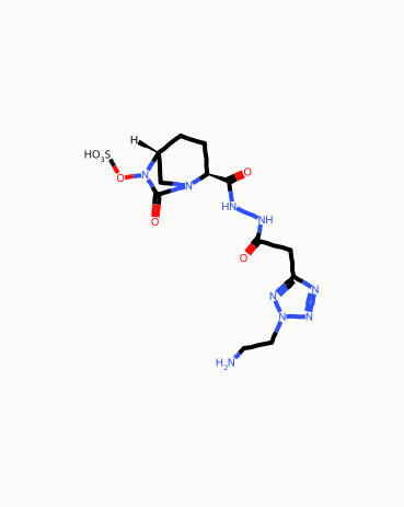 NCCn1nnc(CC(=O)NNC(=O)[C@@H]2CC[C@@H]3CN2C(=O)N3OS(=O)(=O)O)n1